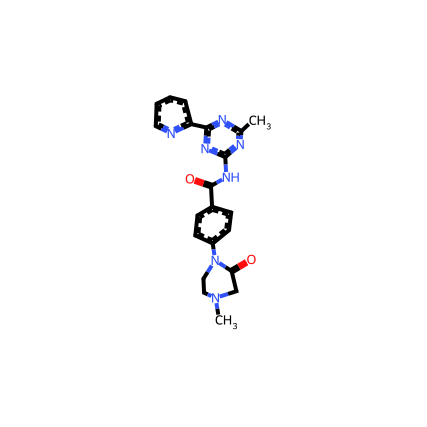 Cc1nc(NC(=O)c2ccc(N3CCN(C)CC3=O)cc2)nc(-c2ccccn2)n1